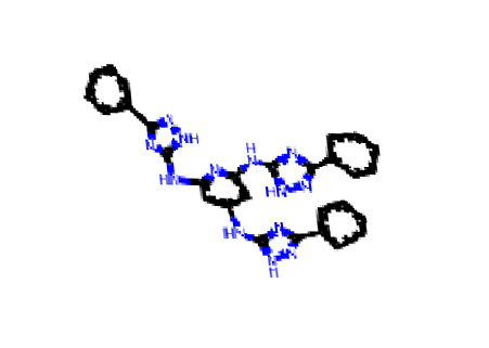 c1ccc(-c2n[nH]c(Nc3cc(Nc4nc(-c5ccccc5)n[nH]4)nc(Nc4nc(-c5ccccc5)n[nH]4)c3)n2)cc1